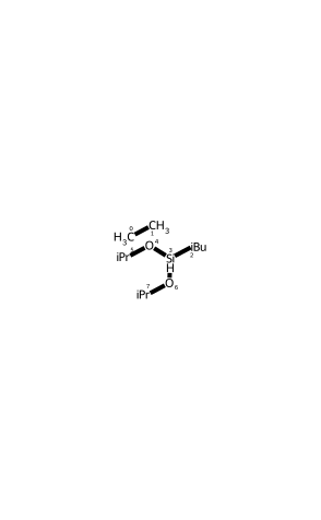 CC.CCC(C)[SiH](OC(C)C)OC(C)C